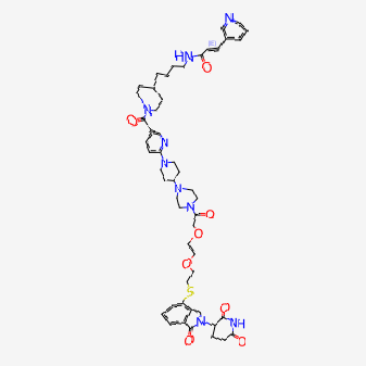 O=C(/C=C/c1cccnc1)NCCCCC1CCN(C(=O)c2ccc(N3CCC(N4CCN(C(=O)COCCOCCSc5cccc6c5CN(C5CCC(=O)NC5=O)C6=O)CC4)CC3)nc2)CC1